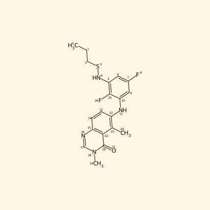 CCCSNc1cc(F)cc(Nc2ccc3ncn(C)c(=O)c3c2C)c1F